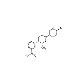 CC(=O)[C@H]1CC[C@@H](N2CC[C@@H](c3cccc(C(N)=O)c3)[C@H](C)C2)CO1